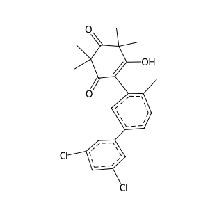 Cc1ccc(-c2cc(Cl)cc(Cl)c2)cc1C1=C(O)C(C)(C)C(=O)C(C)(C)C1=O